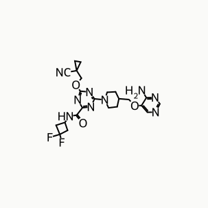 N#CC1(COc2nc(C(=O)NC3CC(F)(F)C3)nc(N3CCC(COc4cncnc4N)CC3)n2)CC1